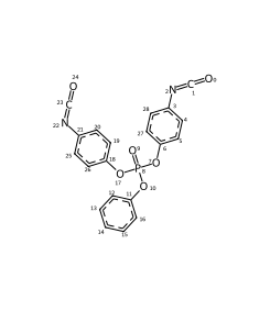 O=C=Nc1ccc(OP(=O)(Oc2ccccc2)Oc2ccc(N=C=O)cc2)cc1